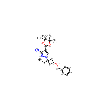 CC1(C)OB(c2cn(C3(CC#N)CC(OCc4ccccc4)C3)nc2N)OC1(C)C